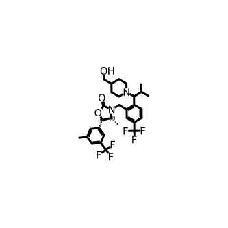 Cc1cc([C@@H]2OC(=O)N(Cc3cc(C(F)(F)F)ccc3C(C(C)C)N3CCC(CO)CC3)[C@@H]2C)cc(C(F)(F)F)c1